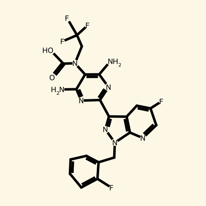 Nc1nc(-c2nn(Cc3ccccc3F)c3ncc(F)cc23)nc(N)c1N(CC(F)(F)F)C(=O)O